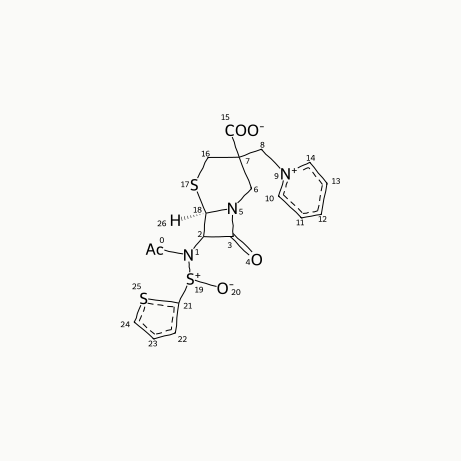 CC(=O)N(C1C(=O)N2CC(C[n+]3ccccc3)(C(=O)[O-])CS[C@H]12)[S+]([O-])c1cccs1